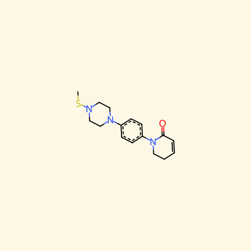 CSN1CCN(c2ccc(N3CCC=CC3=O)cc2)CC1